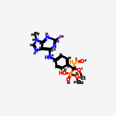 CCOC([PH2]=O)(c1ccc(Nc2nc(I)nc3c2ncn3C(C)C)cc1)P(=O)(O)OC(C)CC